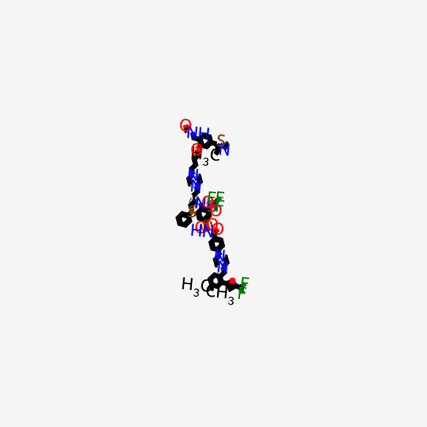 Cc1ncsc1-c1ccc(CNC=O)c(OCCCCN2CCN(CC[C@H](CSc3ccccc3)Nc3ccc(S(=O)(=O)NC(=O)c4ccc(N5CCN(CC6=C(C78CC(C(F)F)(C7)C8)CC(C)(C)CC6)CC5)cc4)cc3S(=O)(=O)C(F)(F)F)CC2)c1